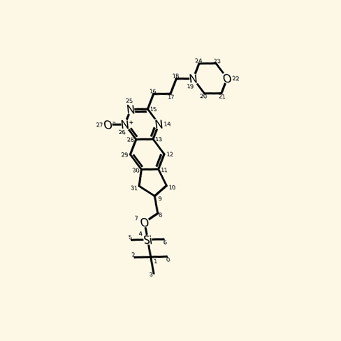 CC(C)(C)[Si](C)(C)OCC1Cc2cc3nc(CCCN4CCOCC4)n[n+]([O-])c3cc2C1